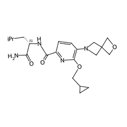 CC(C)C[C@H](NC(=O)c1ccc(N2CC3(COC3)C2)c(OCC2CC2)n1)C(N)=O